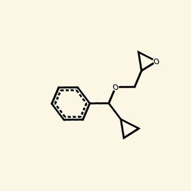 c1ccc(C(OCC2CO2)C2CC2)cc1